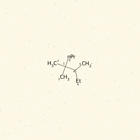 [CH2]CCC(C)(C)C([CH2])CC